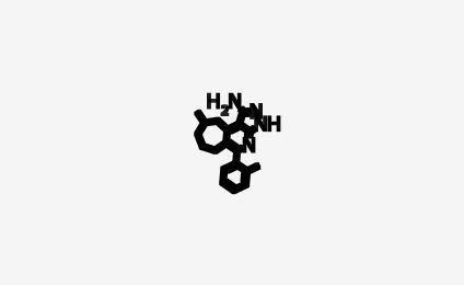 Cc1ccccc1-c1nc2[nH]nc(N)c2c2c1CCCC(C)C2